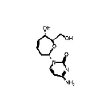 Nc1ccn([C@@H]2CC=C[C@H](O)[C@@H](CO)O2)c(=O)n1